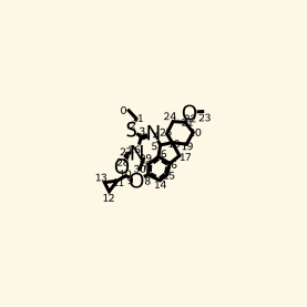 CCS/C(=N/C1c2cc(OCC3CC3)ccc2CC12CCC(OC)CC2)N(C=O)CC